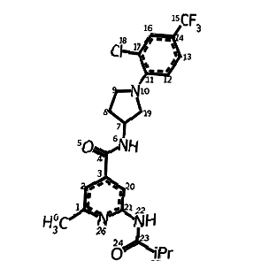 Cc1cc(C(=O)NC2CCN(c3ccc(C(F)(F)F)cc3Cl)C2)cc(NC(=O)C(C)C)n1